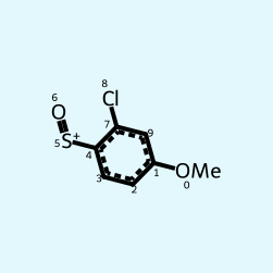 COc1ccc([S+]=O)c(Cl)c1